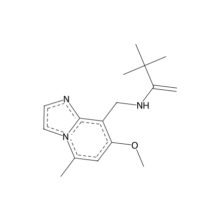 C=C(NCc1c(OC)cc(C)n2ccnc12)C(C)(C)C